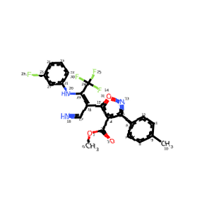 COC(=O)c1c(-c2ccc(C)cc2)noc1/C(C=N)=C(/Nc1cccc(F)c1)C(F)(F)F